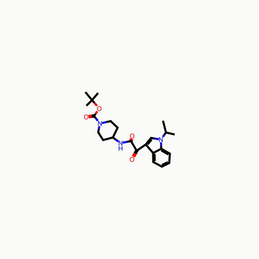 CC(C)n1cc(C(=O)C(=O)NC2CCN(C(=O)OC(C)(C)C)CC2)c2ccccc21